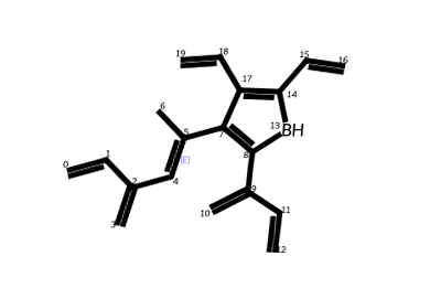 C=CC(=C)/C=C(\C)C1=C(C(=C)C=C)BC(C=C)=C1C=C